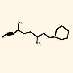 CC#CC(O)CCC(N)CCN1CCCCC1